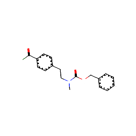 CN(CCc1ccc(C(=O)Cl)cc1)C(=O)OCc1ccccc1